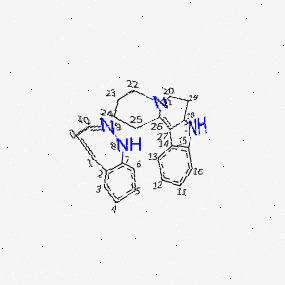 C1=Cc2ccccc2NN=C1.c1ccc2c(c1)NC1CCN3CCCCC3=C21